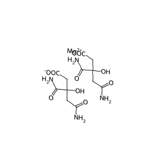 NC(=O)CC(O)(CC(=O)[O-])C(N)=O.NC(=O)CC(O)(CC(=O)[O-])C(N)=O.[Mg+2]